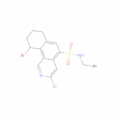 CC(C)CNS(=O)(=O)c1cc2c(c3cnc(Cl)cc13)C(Br)CCC2